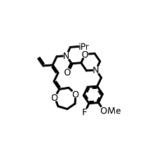 C=C/C(=C\C=C1/COCCCO1)CN(CC(C)C)C(=O)C1CN(Cc2ccc(F)c(OC)c2)CCO1